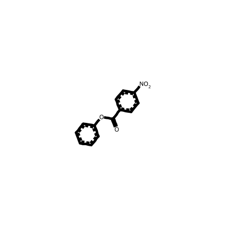 O=C(Oc1[c]cccc1)c1ccc([N+](=O)[O-])cc1